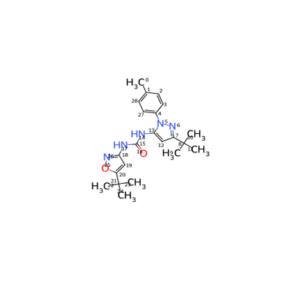 Cc1ccc(-n2nc(C(C)(C)C)cc2NC(=O)Nc2cc(C(C)(C)C)on2)cc1